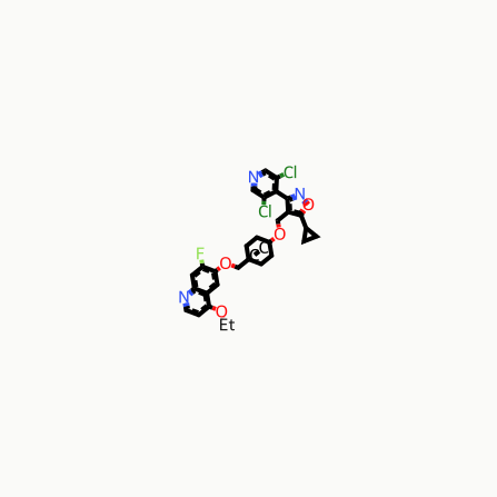 CCOc1ccnc2cc(F)c(OCC34CCC(OCc5c(-c6c(Cl)cncc6Cl)noc5C5CC5)(CC3)CC4)cc12